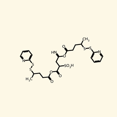 CC(CCC(=O)OC(=N)CC(C(=O)OC(=O)CCC(C)SSc1ccccn1)S(=O)(=O)O)SSc1ccccn1